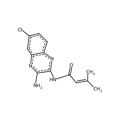 CC(C)=CC(=O)Nc1nc2ccc(Cl)cc2nc1N